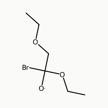 CCOCC([O])(Br)OCC